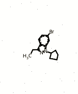 CCc1nn(C2CCCC2)c2cc(Br)ccc12